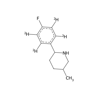 [2H]c1c([2H])c(C2CCC(C)CN2)c([2H])c([2H])c1F